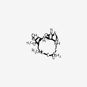 COc1cc2cc(c1OC)CN(C)CCCCC(=O)N(C)CCCNc1ncnc3c1/C(=C/N2)C(=O)N3